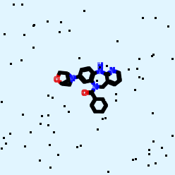 O=C(C1CCCCC1)N1Cc2cccnc2Nc2ccc(N3CC4CC3CO4)cc21